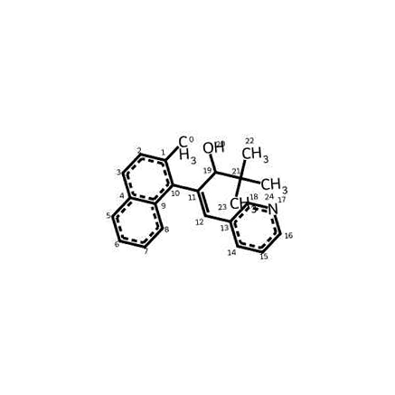 Cc1ccc2ccccc2c1C(=Cc1cccnc1)C(O)C(C)(C)C